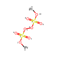 CC(C)OS(=O)(=O)OOS(=O)(=O)OC(C)C